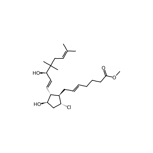 COC(=O)CCCC=CC[C@@H]1[C@@H](C=C[C@@H](O)C(C)(C)CC=C(C)C)[C@H](O)C[C@H]1Cl